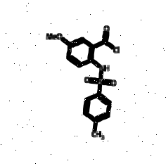 COc1ccc(NS(=O)(=O)c2ccc(C)cc2)c(C(=O)Cl)c1